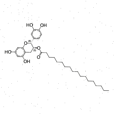 CCCCCCCCCCCCCCCCCC(=O)O[C@H]1Cc2c(O)cc(O)cc2O[C@@H]1c1ccc(O)c(O)c1